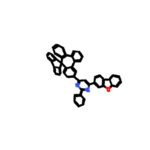 C1=CC2Oc3cc(-c4cc(-c5ccc6c(c5)-c5ccccc5-c5ccccc5C65c6ccccc6-c6ccccc65)nc(-c5ccccc5)n4)ccc3C2C=C1